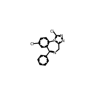 Clc1ccc2c(c1)C(c1ccccc1)=NCc1nnc(Cl)n1-2